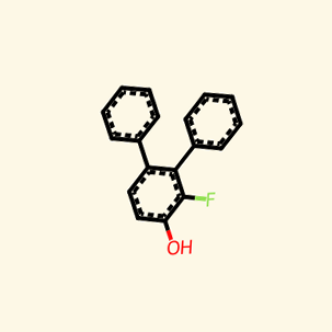 Oc1ccc(-c2ccccc2)c(-c2ccccc2)c1F